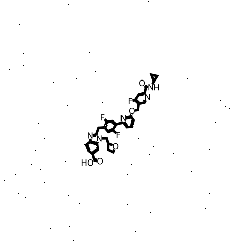 O=C(O)c1ccc2nc(Cc3cc(F)c(-c4cccc(OCc5cnc(C(=O)NC6CC6)cc5F)n4)cc3F)n(CC3CCO3)c2c1